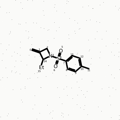 C=C1CN(S(=O)(=O)c2ccc(C)cc2)C1CC